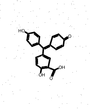 O=C1C=CC(=C(c2ccc(O)cc2)c2ccc(O)c(C(=O)O)c2)C=C1